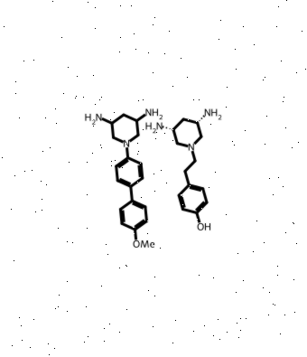 COc1ccc(-c2ccc(N3CC(N)CC(N)C3)cc2)cc1.N[C@@H]1C[C@H](N)CN(CCc2ccc(O)cc2)C1